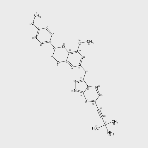 COc1ccc(C2COc3cc(Cc4cnc5cc(C#CC(C)(C)N)cnn45)cc(OC)c3O2)cn1